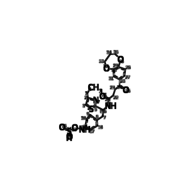 CCc1csc([C@H](Cc2ccc(NO[SH](=O)=O)cc2)NC(=O)CCC(=O)c2ccc3c(c2)OCCCO3)n1